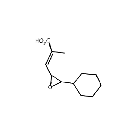 CC(=CC1OC1C1CCCCC1)C(=O)O